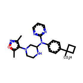 Cc1noc(C)c1N1CCNC(N(c2ccc(C3(C(=O)O)CCC3)cc2)c2ncccn2)C1